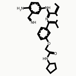 C/C=C(C)\C(=N/C(=C(C)C)c1cccc(OCC(=O)NC2CCCC2)c1)Nc1ccc(N)c(C=N)c1